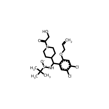 C=CCOc1cc(Cl)c(Cl)cc1C(N[S+]([O-])C(C)(C)C)C1CCN(C(=O)CO)CC1